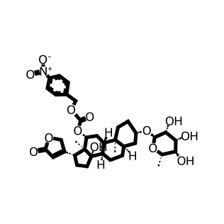 C[C@@H]1O[C@@H](O[C@H]2CC[C@@]3(C)[C@H](CC[C@@H]4[C@@H]3C[C@@H](OC(=O)OCc3ccc([N+](=O)[O-])cc3)[C@]3(C)[C@@H](C5=CC(=O)OC5)CC[C@]43O)C2)[C@H](O)[C@H](O)[C@H]1O